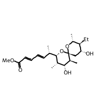 CC[C@H]1[C@H](O)C[C@@]2(O[C@@H]([C@@H](C)/C=C/C=C/C(=O)OC)[C@@H](C)[C@@H](O)[C@@H]2C)O[C@@H]1C